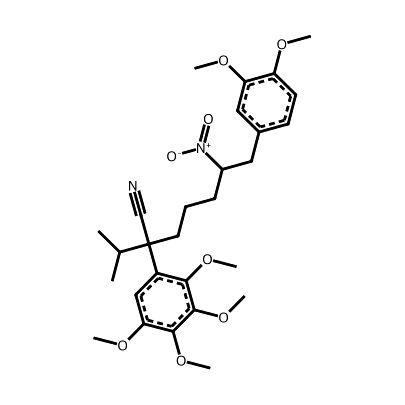 COc1ccc(CC(CCCC(C#N)(c2cc(OC)c(OC)c(OC)c2OC)C(C)C)[N+](=O)[O-])cc1OC